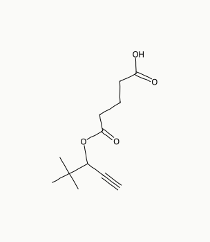 C#CC(OC(=O)CCCC(=O)O)C(C)(C)C